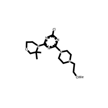 COCCN1CCN(c2nc(Cl)nc(N3CCOCC3(C)C)n2)CC1